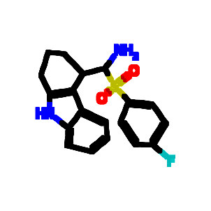 NC(C1CCCc2[nH]c3ccccc3c21)S(=O)(=O)c1ccc(F)cc1